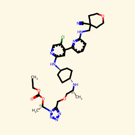 CCOC(=O)O[C@@H](C)n1nnnc1COC[C@@H](C)N[C@H]1CC[C@H](Nc2cc(-c3cccc(NCC4(C#N)CCOCC4)n3)c(Cl)cn2)CC1